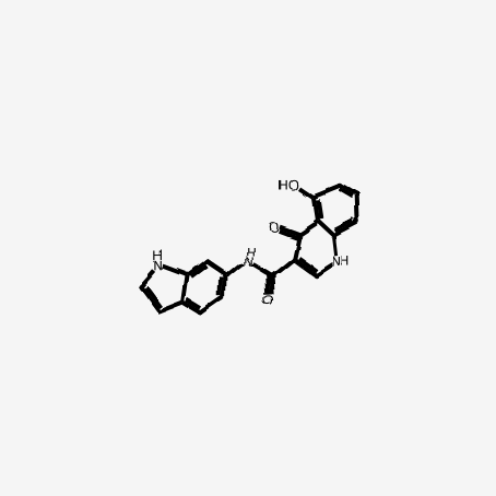 O=C(Nc1ccc2cc[nH]c2c1)c1c[nH]c2cccc(O)c2c1=O